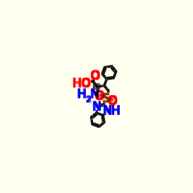 N[C@H](C(=O)O)C(CS(=O)(=O)c1nc2ccccc2[nH]1)c1ccccc1